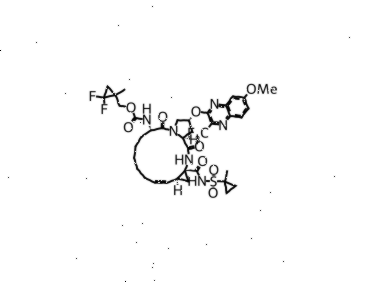 COc1ccc2nc(C(F)(F)F)c(O[C@@H]3C[C@H]4C(=O)N[C@]5(C(=O)NS(=O)(=O)C6(C)CC6)C[C@H]5/C=C\CCCCC[C@H](NC(=O)OCC5(C)CC5(F)F)C(=O)N4C3)nc2c1